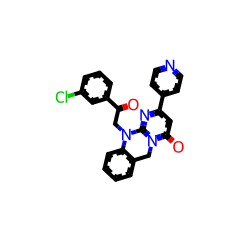 O=C(CN1c2ccccc2Cn2c1nc(-c1ccncc1)cc2=O)c1cccc(Cl)c1